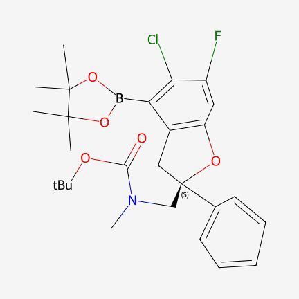 CN(C[C@@]1(c2ccccc2)Cc2c(cc(F)c(Cl)c2B2OC(C)(C)C(C)(C)O2)O1)C(=O)OC(C)(C)C